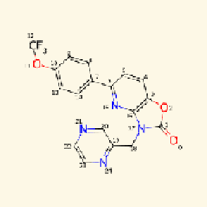 O=c1oc2ccc(-c3ccc(OC(F)(F)F)cc3)nc2n1Cc1cnccn1